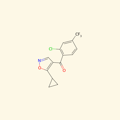 O=C(c1ccc(C(F)(F)F)cc1Cl)c1cnoc1C1CC1